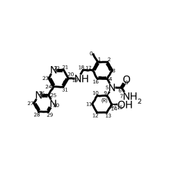 Cc1ccc(N(C(N)=O)[C@@H]2CCCC[C@@H]2O)cc1CNc1cncc(-c2ncccn2)c1